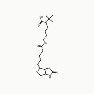 CC(C)(C)C(CCCCNC(=O)CCCCC1SCC2NC(=O)CC21)C(=O)O